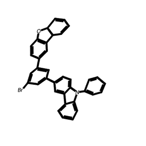 Brc1cc(-c2ccc3c(c2)C2C=CC=CC2O3)cc(-c2ccc3c(c2)c2ccccc2n3-c2ccccc2)c1